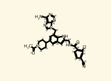 CC(=O)N1CCC(c2cc(Cn3cnc4c(N)ncnc43)c3[nH]c(CNC(=O)c4ccc(C#N)cc4Cl)cc3c2)CC1